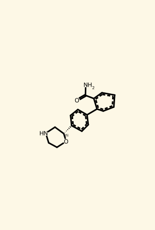 NC(=O)c1ccccc1-c1ccc([C@H]2CNCCO2)cc1